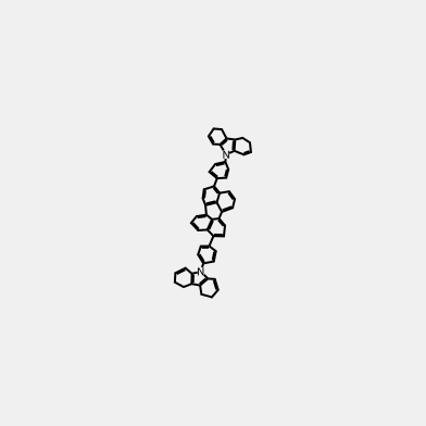 C1=Cc2c(c3c(n2-c2ccc(-c4ccc5c6cccc7c(-c8ccc(-n9c%10c(c%11c9C=CCC%11)CCC=C%10)cc8)ccc(c8cccc4c85)c76)cc2)C=CCC3)CC1